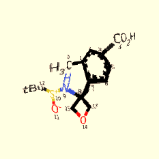 Cc1cc(C(=O)O)ccc1C1(N[S+]([O-])C(C)(C)C)COC1